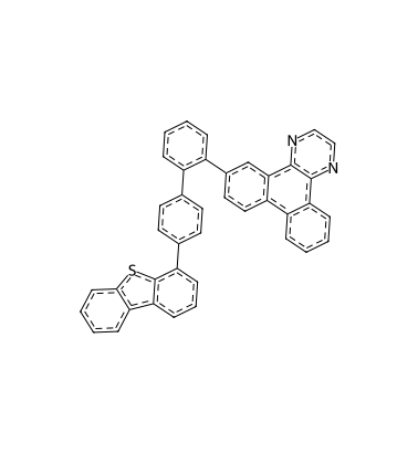 c1ccc(-c2ccc3c4ccccc4c4nccnc4c3c2)c(-c2ccc(-c3cccc4c3sc3ccccc34)cc2)c1